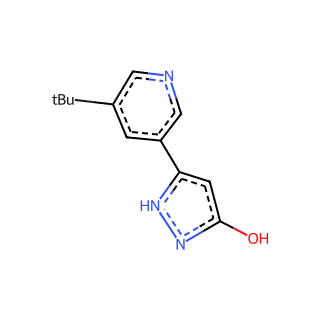 CC(C)(C)c1cncc(-c2cc(O)n[nH]2)c1